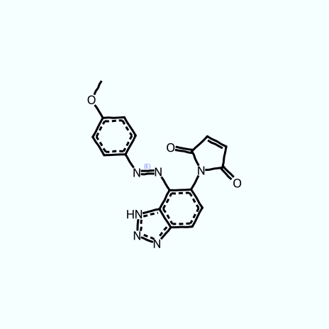 COc1ccc(/N=N/c2c(N3C(=O)C=CC3=O)ccc3nn[nH]c23)cc1